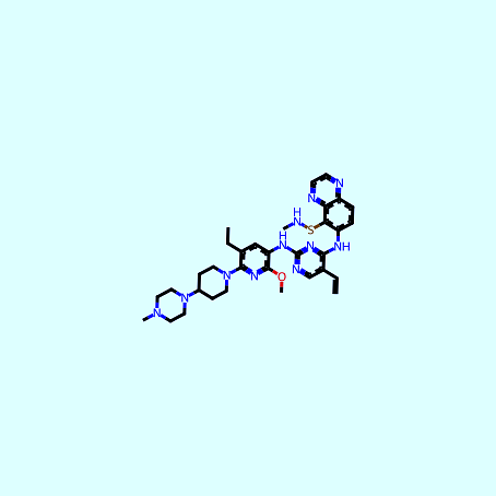 C=Cc1cnc(Nc2cc(CC)c(N3CCC(N4CCN(C)CC4)CC3)nc2OC)nc1Nc1ccc2nccnc2c1SNC